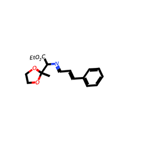 CCOC(=O)C(N=CC=Cc1ccccc1)C1(C)OCCO1